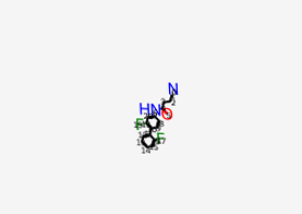 N#CCCC(=O)Nc1ccc(-c2ccccc2F)c(F)c1